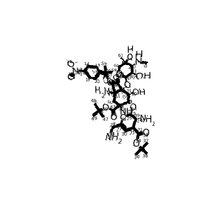 CN[C@@H]1[C@@H](O)[C@@H](O[C@]2(C(=O)OCc3ccc([N+](=O)[O-])cc3)[C@@H](O)[C@H](O[C@H]3OC(CN)=CC(C(=O)OC(C)(C)C)[C@H]3N)[C@](N)(C(=O)OC(C)(C)C)C[C@]2(N)C(=O)OC(C)(C)C)OC[C@]1(C)O